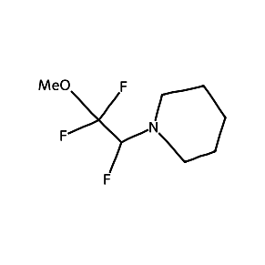 COC(F)(F)C(F)N1CCCCC1